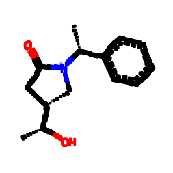 C[C@H](c1ccccc1)N1C[C@H]([C@@H](C)O)CC1=O